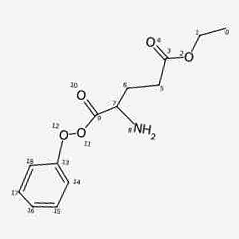 CCOC(=O)CCC(N)C(=O)OOc1ccccc1